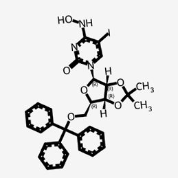 CC1(C)O[C@@H]2[C@H](O1)[C@@H](COC(c1ccccc1)(c1ccccc1)c1ccccc1)O[C@H]2n1cc(I)c(NO)nc1=O